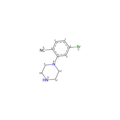 N#Cc1ccc(Br)cc1N1CCNCC1